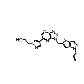 C=CCn1ncc2sc(Cn3nnc4ncc(-c5cnn(CCO)c5)nc43)cc21